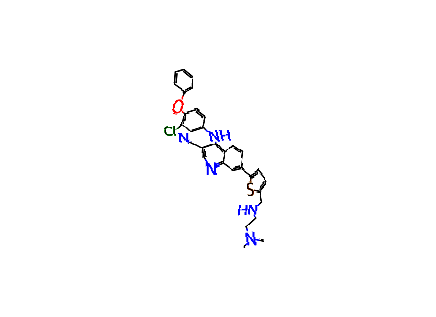 CN(C)CCNCc1ccc(-c2ccc3c(Nc4ccc(Oc5ccccc5)c(Cl)c4)c(C#N)cnc3c2)s1